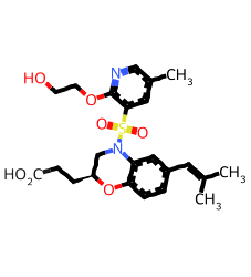 CC(C)=Cc1ccc2c(c1)N(S(=O)(=O)c1cc(C)cnc1OCCO)C[C@H](CCC(=O)O)O2